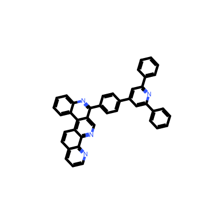 c1ccc(-c2cc(-c3ccc(-c4nc5ccccc5c5c4cnc4c5ccc5cccnc54)cc3)cc(-c3ccccc3)n2)cc1